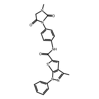 Cc1nn(-c2ccccc2)c2sc(C(=O)Nc3ccc(N4C(=O)CN(C)C4=O)cc3)cc12